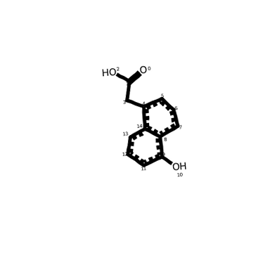 O=C(O)Cc1cccc2c(O)cccc12